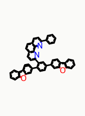 c1c(-c2ccc(-c3ccc4c(c3)oc3ccccc34)cc2-c2ccc3ccc4ccc(-c5ccccc5)nc4c3n2)cc2oc3ccccc3c2c#1